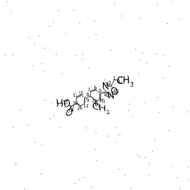 CCc1nc(-c2ccc(-c3ccc(C(=O)O)cc3)c(C)c2)no1